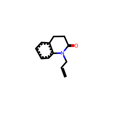 C=CCN1C(=O)CCc2ccccc21